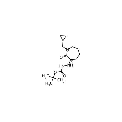 CC(C)(C)OC(=O)NN[C@@H]1CCCCN(CC2CC2)C1=O